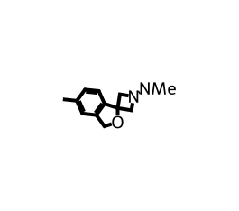 CNN1CC2(C1)OCc1cc(C)ccc12